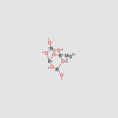 [Mg+2].[O-]B1OB2OB([O-])OB(O1)O2